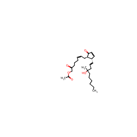 CCCCCCC(C)(O)C/C=C/[C@H]1C=CC(=O)[C@@H]1C/C=C\CCCC(=O)COC(C)=O